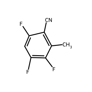 Cc1c(F)c(F)cc(F)c1C#N